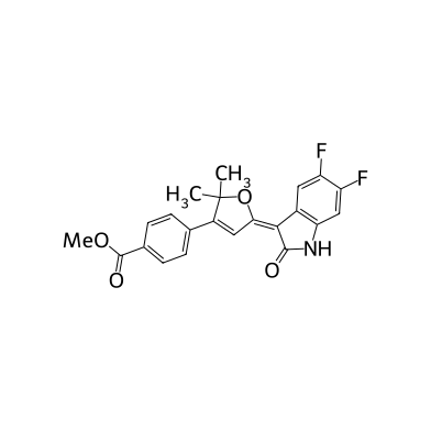 COC(=O)c1ccc(C2=C/C(=C3\C(=O)Nc4cc(F)c(F)cc43)OC2(C)C)cc1